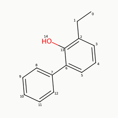 CCc1cccc(-c2ccccc2)c1O